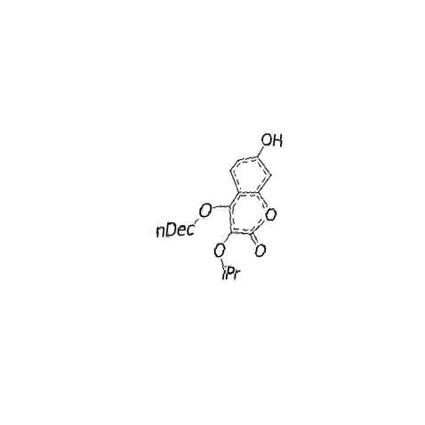 CCCCCCCCCCOc1c(OC(C)C)c(=O)oc2cc(O)ccc12